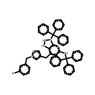 Brc1cccc(Cn2cc(Cc3cc(NC(c4ccccc4)(c4ccccc4)c4ccccc4)nc4c3NNN4C(c3ccccc3)(c3ccccc3)c3ccccc3)cn2)c1